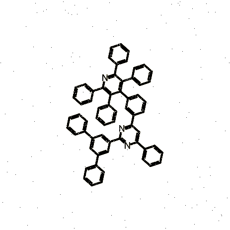 c1ccc(-c2cc(-c3ccccc3)cc(-c3nc(-c4ccccc4)cc(-c4cccc(-c5c(-c6ccccc6)c(-c6ccccc6)nc(-c6ccccc6)c5-c5ccccc5)c4)n3)c2)cc1